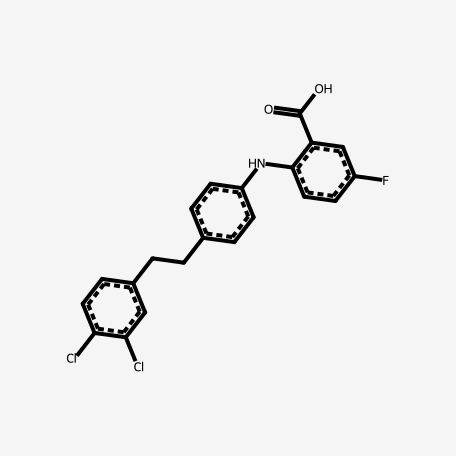 O=C(O)c1cc(F)ccc1Nc1ccc(CCc2ccc(Cl)c(Cl)c2)cc1